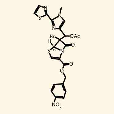 CC(=O)OC(c1cn(C)c(-c2nccs2)n1)C1(Br)C(=O)N2C(C(=O)OCc3ccc([N+](=O)[O-])cc3)=CS[C@@H]21